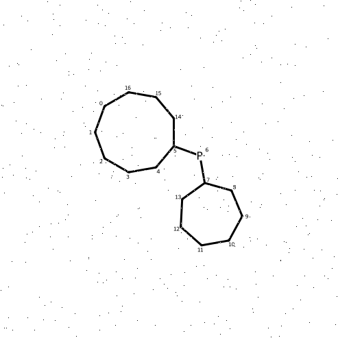 C1CCCCC([P]C2CCCCCC2)CCC1